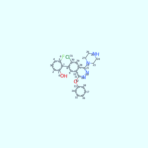 Oc1cccc(F)c1-c1cc2c(Oc3ccccc3)nnc(N3CCNCC3)c2cc1Cl